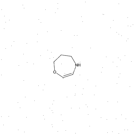 [C]1=CNCCCO1